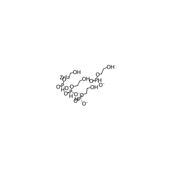 O=[PH]([O-])OCCO.O=[PH]([O-])OCCO.O=[PH]([O-])OCCO.O=[PH]([O-])OCCO.[Zr+4]